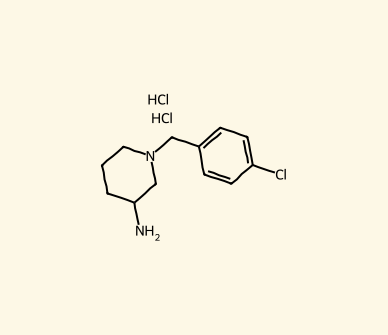 Cl.Cl.NC1CCCN(Cc2ccc(Cl)cc2)C1